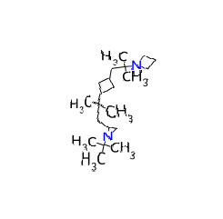 CC(C)(CC1CN1C(C)(C)C)C1CC(CC(C)(C)N2CCC2)C1